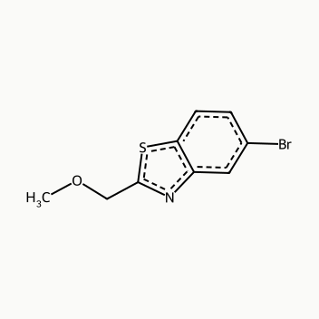 COCc1nc2cc(Br)ccc2s1